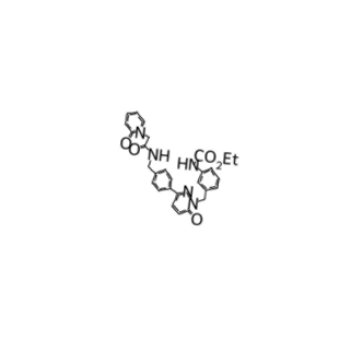 CCOC(=O)Nc1cccc(Cn2nc(-c3ccc(CNC(=O)Cn4ccccc4=O)cc3)ccc2=O)c1